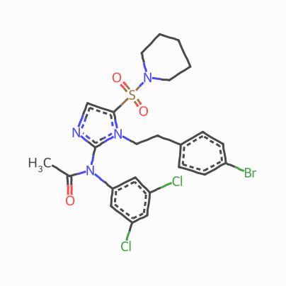 CC(=O)N(c1cc(Cl)cc(Cl)c1)c1ncc(S(=O)(=O)N2CCCCC2)n1CCc1ccc(Br)cc1